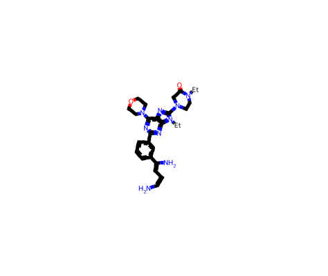 CCN1CCN(c2nc3c(N4CCOCC4)nc(-c4cccc(/C(N)=C/C=C\N)c4)nc3n2CC)CC1=O